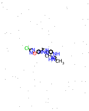 Cc1cc(Nc2ccc3nc(NC4(c5ccc(Oc6ncc(Cl)cn6)cc5)CC4)n(C)c3c2)n[nH]1